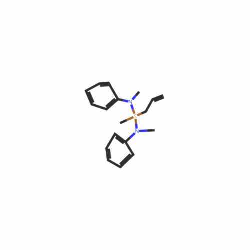 C=CCS(C)(N(C)c1ccccc1)N(C)c1ccccc1